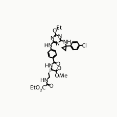 CCOC(=O)C(=O)NCC[C@H](NC(=O)c1ccc(Nc2nc(NC3(c4ccc(Cl)cc4)CC3)nc(OCC)n2)cc1)C(=O)OC